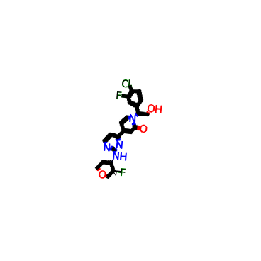 O=c1cc(-c2ccnc(N[C@H]3CCOC[C@@H]3F)n2)ccn1C(CO)c1ccc(Cl)c(F)c1